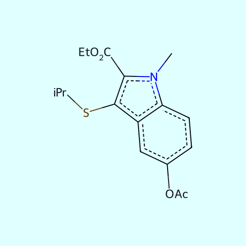 CCOC(=O)c1c(SC(C)C)c2cc(OC(C)=O)ccc2n1C